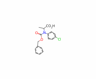 CC(C(=O)O)N(C(=O)OCc1ccccc1)c1ccc(Cl)cc1